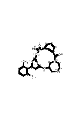 Cc1cccc(C)c1-c1cc2nc(n1)NS(=N)(=O)c1cccc(c1)C(=O)N1CCNCC(C1)O2